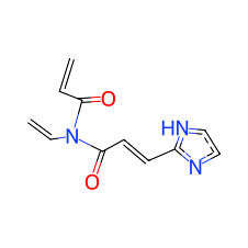 C=CC(=O)N(C=C)C(=O)C=Cc1ncc[nH]1